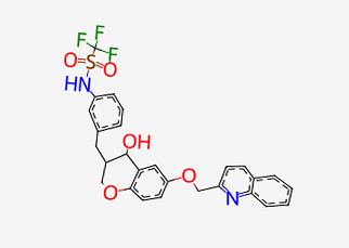 O=S(=O)(Nc1cccc(CC2COc3ccc(OCc4ccc5ccccc5n4)cc3C2O)c1)C(F)(F)F